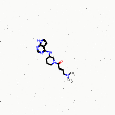 CN(C)C/C=C/C(=O)N1CCCC(Nc2ncnc3[nH]ccc23)C1